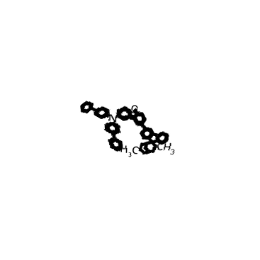 CC1CC2CC(C)C3(c4ccccc4-c4cc(-c5ccc6oc7ccc(N(c8ccc(-c9ccccc9)cc8)c8ccc(-c9ccccc9)cc8)cc7c6c5)ccc43)C(C1)C2